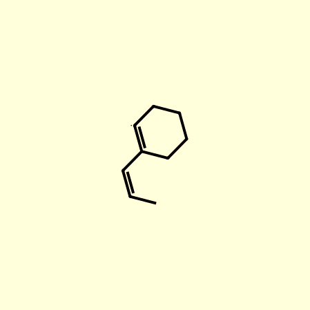 C/C=C\C1=[C]CCCC1